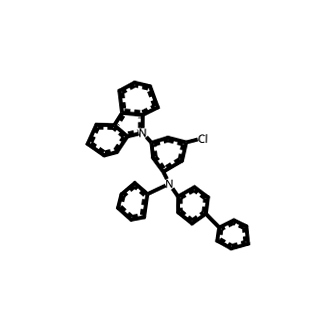 Clc1cc(N(c2ccccc2)c2ccc(-c3ccccc3)cc2)cc(-n2c3ccccc3c3ccccc32)c1